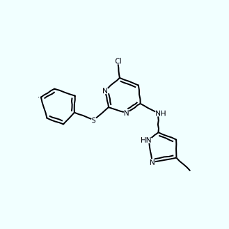 Cc1cc(Nc2cc(Cl)nc(Sc3cc[c]cc3)n2)[nH]n1